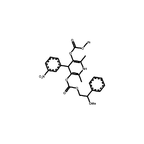 COC(COC(=O)OC1=C(C)NC(C)=C(OC(=O)OC(C)C)C1c1cccc([N+](=O)[O-])c1)c1ccccc1